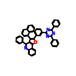 c1ccc(-c2nc(-c3ccccc3)nc(-c3cccc(-c4oc5c(c(-c6ccccc6)nc6ccccc65)c4-c4cccc5ccccc45)c3)n2)cc1